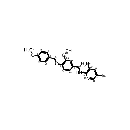 COc1ccc(COc2ccc(CNc3ncc(I)cc3N)cc2OC)cc1